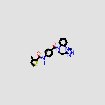 Cc1ccsc1C(=O)Nc1ccc(C(=O)N2CCc3nncn3-c3ccccc32)cc1